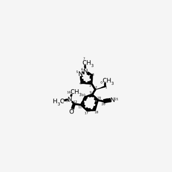 CC[C@H](c1cnn(C)c1)c1cc(C(=O)N(C)C)ccc1C#N